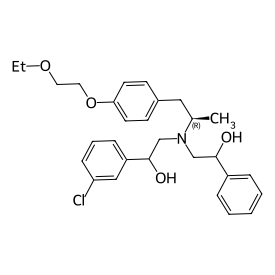 CCOCCOc1ccc(C[C@@H](C)N(CC(O)c2ccccc2)CC(O)c2cccc(Cl)c2)cc1